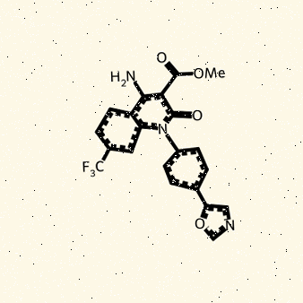 COC(=O)c1c(N)c2ccc(C(F)(F)F)cc2n(-c2ccc(-c3cnco3)cc2)c1=O